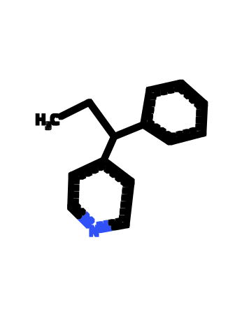 CCC(c1ccccc1)c1ccncc1